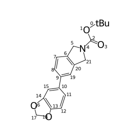 CC(C)(C)OC(=O)N1Cc2ccc(-c3ccc4c(c3)OCO4)cc2C1